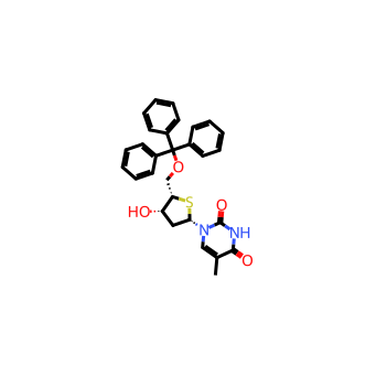 Cc1cn([C@@H]2C[C@H](O)[C@H](COC(c3ccccc3)(c3ccccc3)c3ccccc3)S2)c(=O)[nH]c1=O